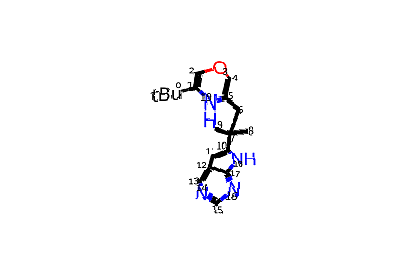 CC(C)(C)C1=COC=C(CC(C)(C)c2cc3cncnc3[nH]2)N1